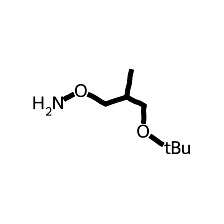 CC(CON)COC(C)(C)C